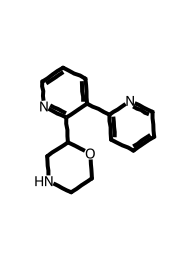 c1ccc(-c2cccnc2C2CNCCO2)nc1